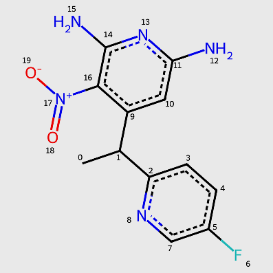 CC(c1ccc(F)cn1)c1cc(N)nc(N)c1[N+](=O)[O-]